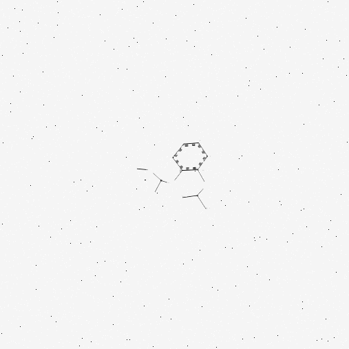 COC(C)Oc1ccccc1OC(C)C